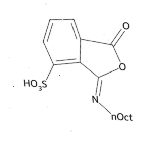 CCCCCCCCN=C1OC(=O)c2cccc(S(=O)(=O)O)c21